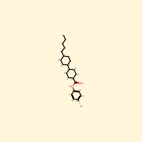 CCCCCC1CCC(C2CCC(C(=O)Oc3ccc(F)cc3)CC2)CC1